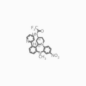 CN1c2cc([N+](=O)[O-])ccc2N2CC[C@H](NC(=O)C(F)(F)F)C[C@@H]2c2c(-c3ccccn3)cccc21